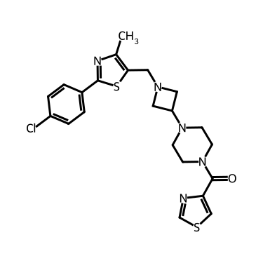 Cc1nc(-c2ccc(Cl)cc2)sc1CN1CC(N2CCN(C(=O)c3cscn3)CC2)C1